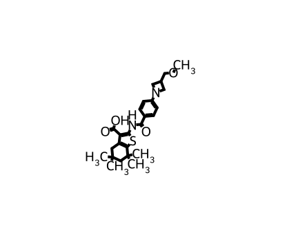 COCC1CN(c2ccc(C(=O)Nc3sc4c(c3C(=O)O)CC(C)(C)CC4(C)C)cc2)C1